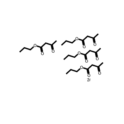 CCCOC(=O)CC(C)=O.CCCOC(=O)CC(C)=O.CCCOC(=O)CC(C)=O.CCCOC(=O)CC(C)=O.[Zr]